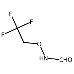 O=CNOCC(F)(F)F